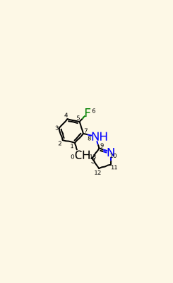 Cc1cccc(F)c1NC1=NCCC1